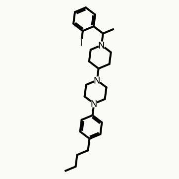 CCCCc1ccc(N2CCN(C3CCN(C(C)c4ccccc4I)CC3)CC2)cc1